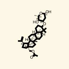 C=C(C)[C@@H]1CC[C@]2(COC(C)=O)CC[C@]3(C)[C@H](CC[C@@H]4[C@@]5(C)CCC(O[C@@H]6C[C@@H](O)O[C@@H](C)[C@H]6O)C(C)(C)[C@@H]5CC[C@]43C)[C@@H]12